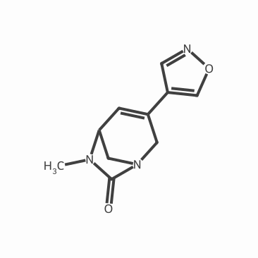 CN1C(=O)N2CC(c3cnoc3)=CC1C2